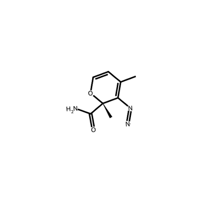 CC1=C(N=[N])[C@](C)(C(N)=O)OC=C1